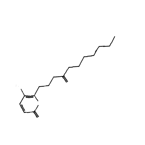 CCCCCCCC(=O)CCCc1oc(=O)ccc1O